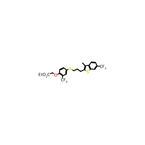 CCOC(=O)COc1ccc(SCCCc2sc3cc(C(F)(F)F)ccc3c2C)cc1C(F)(F)F